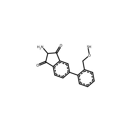 NC1C(=O)c2ccc(-c3ccccc3COS)cc2C1=O